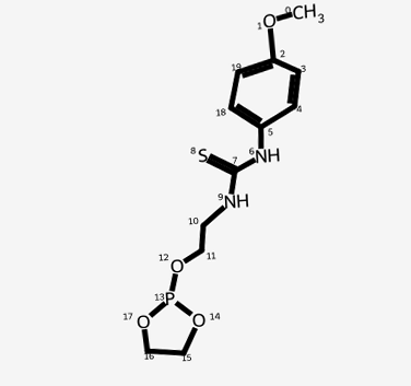 COc1ccc(NC(=S)NCCOP2OCCO2)cc1